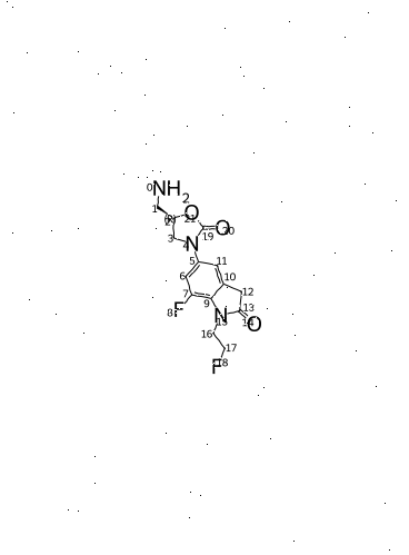 NC[C@@H]1CN(c2cc(F)c3c(c2)CC(=O)N3CCF)C(=O)O1